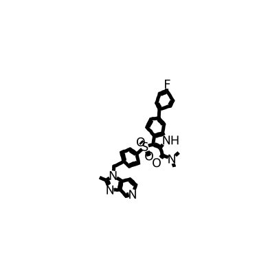 Cc1nc2cnccc2n1Cc1ccc(S(=O)(=O)c2c(C(=O)N(C)C)[nH]c3cc(-c4ccc(F)cc4)ccc23)cc1